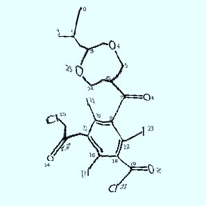 CC(C)C1OCC(C(=O)c2c(I)c(C(=O)Cl)c(I)c(C(=O)Cl)c2I)CO1